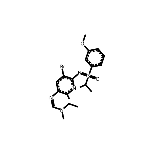 CCN(C)/C=N\c1cc(Br)c(N=S(=O)(c2cccc(OC)c2)C(C)C)nc1C